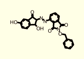 O=C1c2cc(O)ccc2C(O)C1N=Nc1cccc2c1C(=O)N(OCc1ccccc1)C2=O